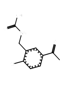 CC(=O)c1ccc(Cl)c(CNC(=O)O)c1